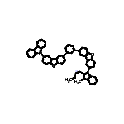 C=C/C=C\c1c(C)c2ccccc2n1-c1ccc2oc3ccc(-c4cccc(-c5ccc6oc7ccc(-n8c9ccccc9c9ccccc98)cc7c6c5)c4)cc3c2c1